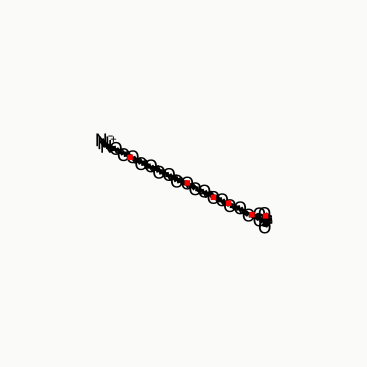 [N-]=[N+]=NCCOCCOCCOCCOCCOCCOCCOCCOCCOCCOCCOCCOCCOCCOCCOCCOCCC(=O)ON1C(=O)CCC1=O